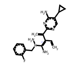 C=C/C(C(=C)c1ncc(C2CC2)c(N)n1)=C(\N)N(N)Cc1ccccc1F